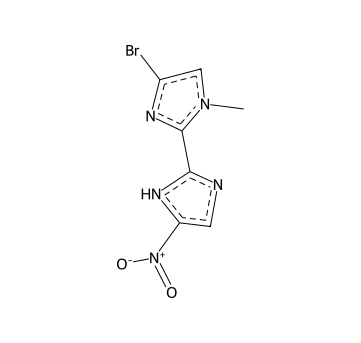 Cn1cc(Br)nc1-c1ncc([N+](=O)[O-])[nH]1